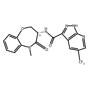 CN1C(=O)[C@@H](NC(=O)c2n[nH]c3ncc(C(F)(F)F)cc23)COc2ccccc21